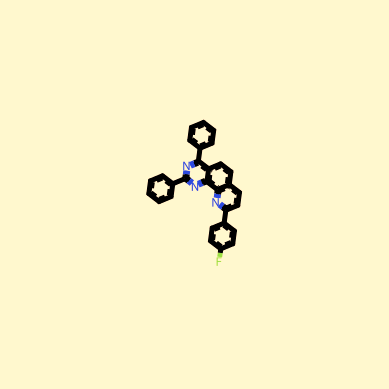 Fc1ccc(-c2ccc3ccc4c(-c5ccccc5)nc(-c5ccccc5)nc4c3n2)cc1